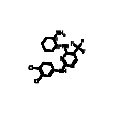 N[C@@H]1CCCC[C@H]1Nc1nc(Nc2ccc(Cl)c(Cl)c2)ncc1C(F)(F)F